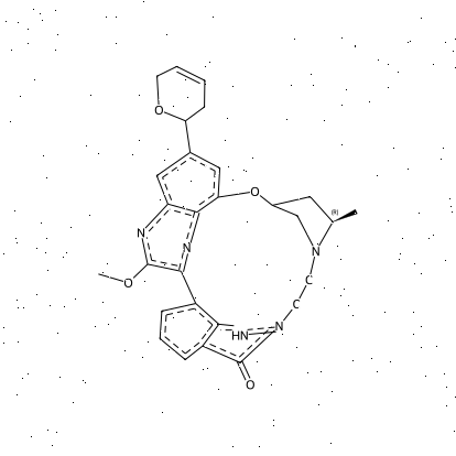 COc1nc2cc(C3CC=CCO3)cc3c2nc1-c1cccc2c(=O)n([nH]c12)CCN1CC(C[C@H]1C)O3